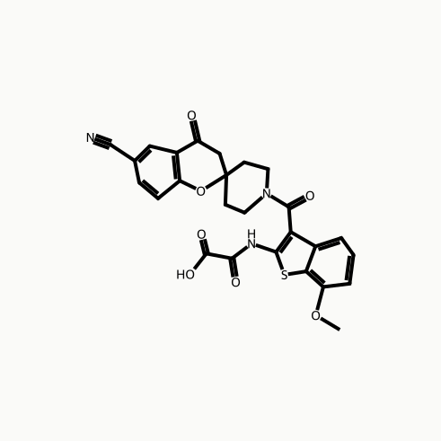 COc1cccc2c(C(=O)N3CCC4(CC3)CC(=O)c3cc(C#N)ccc3O4)c(NC(=O)C(=O)O)sc12